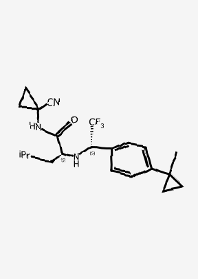 CC(C)C[C@H](N[C@@H](c1ccc(C2(C)CC2)cc1)C(F)(F)F)C(=O)NC1(C#N)CC1